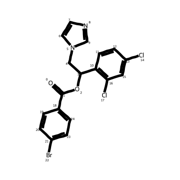 O=C(OC(Cn1ccnc1)c1ccc(Cl)cc1Cl)c1ccc(Br)cc1